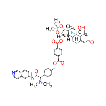 CN(C)C(C(=O)Nc1ccc2cnccc2c1)c1ccc(COC(=O)c2ccc(C(=O)OCC(=O)[C@@]34OC(C)(C)O[C@@H]3C[C@H]3[C@@H]5CCC6=CC(=O)C=C[C@]6(C)[C@@]5(F)[C@@H](O)C[C@@]34C)cc2)cc1